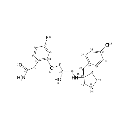 NC(=O)Cc1ccc(F)cc1OC[C@@H](O)CN[C@]1(Cc2ccc(Cl)cc2)CCNC1